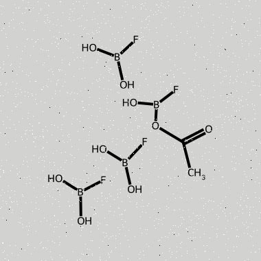 CC(=O)OB(O)F.OB(O)F.OB(O)F.OB(O)F